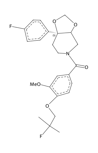 COc1cc(C(=O)N2CC[C@@]3(c4ccc(F)cc4)OCOC3C2)ccc1OCC(C)(C)F